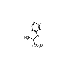 CCOC(=O)[C@@H](N)Cc1cccnc1